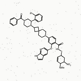 CNC1C=CC(SNC(=O)c2ccc(N3CCC4(CC3)CC(N3CCN(C(=O)c5ccccc5)CC3c3ccccc3C(C)C)C4)cc2Oc2cnc3[nH]ccc3c2)CC1[N+](=O)[O-]